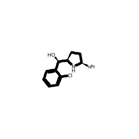 CCC[C@@H]1CC[C@H]([C@H](O)c2ccccc2Cl)N1